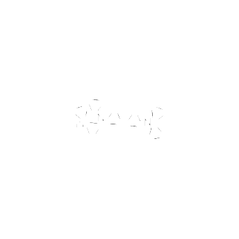 c1ccc(N(c2ccc(-c3ccc(-n4c5ccccc5c5ccccc54)cc3)cc2)c2cccc3oc4ccccc4c23)cc1